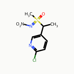 CC(c1ccc(Cl)nc1)S(C)(=O)=N[N+](=O)[O-]